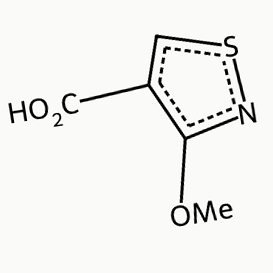 COc1nscc1C(=O)O